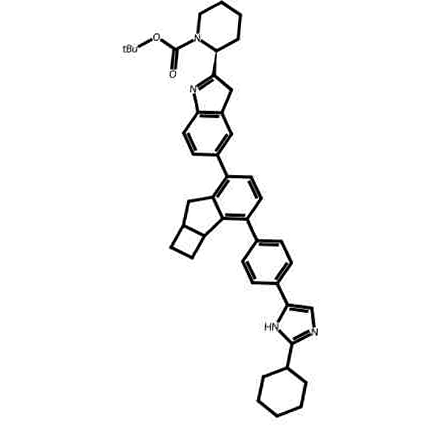 CC(C)(C)OC(=O)N1CCCC[C@H]1C1=Nc2ccc(-c3ccc(-c4ccc(-c5cnc(C6CCCCC6)[nH]5)cc4)c4c3CC3CCC43)cc2C1